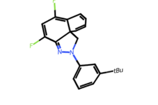 CC(C)(C)c1cccc(N2CC34C=CC=CC3=C(F)C=C(F)C4=N2)c1